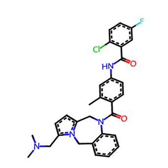 Cc1cc(NC(=O)c2cc(F)ccc2Cl)ccc1C(=O)N1Cc2ccc(CN(C)C)n2Cc2ccccc21